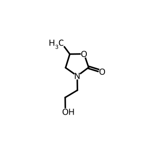 CC1CN(CCO)C(=O)O1